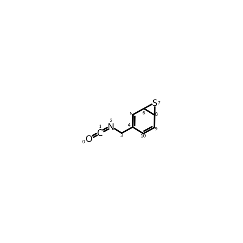 O=C=NCC1=CC2SC2C=C1